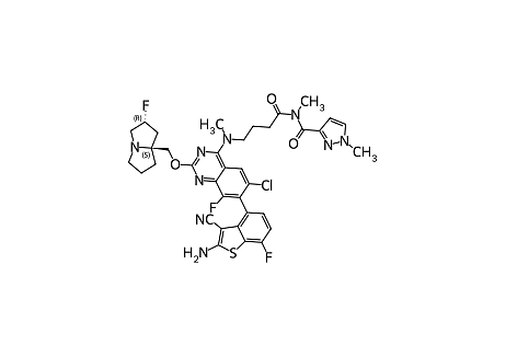 CN(C(=O)CCCN(C)c1nc(OC[C@@]23CCCN2C[C@H](F)C3)nc2c(F)c(-c3ccc(F)c4sc(N)c(C#N)c34)c(Cl)cc12)C(=O)c1ccn(C)n1